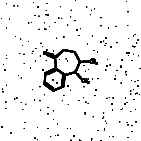 CC1CCC(=O)c2ccccc2N1C